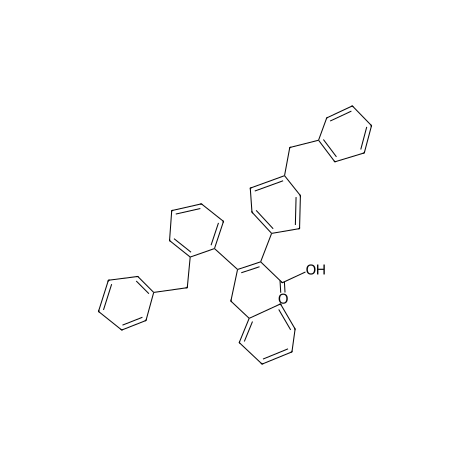 O=C(O)C(=C(Cc1ccccc1)c1ccccc1Cc1ccccc1)c1ccc(Cc2ccccc2)cc1